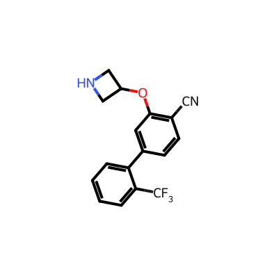 N#Cc1ccc(-c2ccccc2C(F)(F)F)cc1OC1CNC1